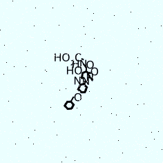 Cn1c(=O)c(C(=O)NCC(=O)O)c(O)c2nc3cc(OCc4ccccc4)ccc3n21